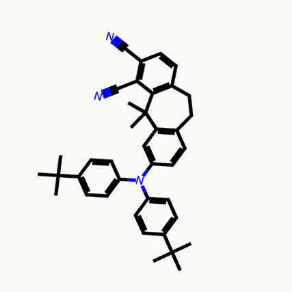 CC(C)(C)c1ccc(N(c2ccc(C(C)(C)C)cc2)c2ccc3c(c2)C(C)(C)c2c(ccc(C#N)c2C#N)CC3)cc1